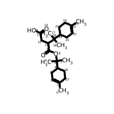 CC1=CCC(C(C)(C)OC(=O)C(CC(=O)O)C(C)(C)C2CC=C(C)CC2)CC1